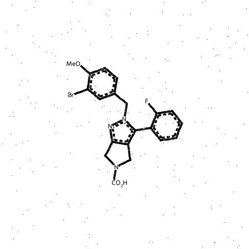 COc1ccc(Cn2nc3c(c2-c2ccccc2F)CN(C(=O)O)C3)cc1Br